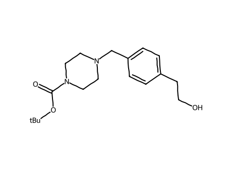 CC(C)(C)OC(=O)N1CCN(Cc2ccc(CCO)cc2)CC1